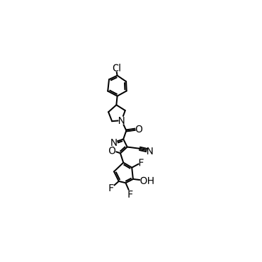 N#Cc1c(C(=O)N2CCC(c3ccc(Cl)cc3)C2)noc1-c1cc(F)c(F)c(O)c1F